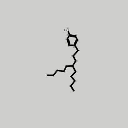 CCCCCC(CCCCC)CCCc1ccc(O)cc1